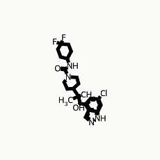 CC(C)(C1CCN(C(=O)NC2CCC(F)(F)CC2)CC1)C(O)c1cc(Cl)cc2[nH]ncc12